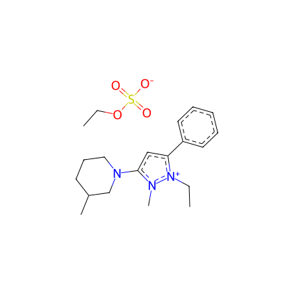 CCOS(=O)(=O)[O-].CC[n+]1c(-c2ccccc2)cc(N2CCCC(C)C2)n1C